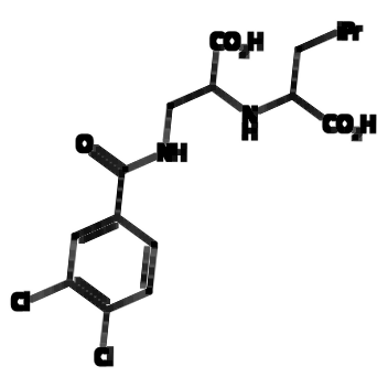 CC(C)CC(NC(CNC(=O)c1ccc(Cl)c(Cl)c1)C(=O)O)C(=O)O